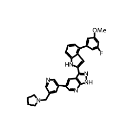 COc1cc(F)cc(-c2cccc3[nH]c(-c4n[nH]c5ncc(-c6cncc(CN7CCCC7)c6)cc45)cc23)c1